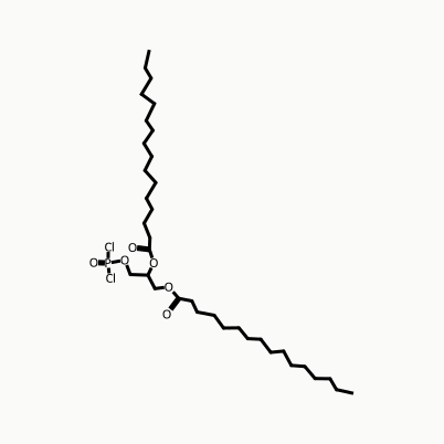 CCCCCCCCCCCCCCCC(=O)OCC(COP(=O)(Cl)Cl)OC(=O)CCCCCCCCCCCCCCC